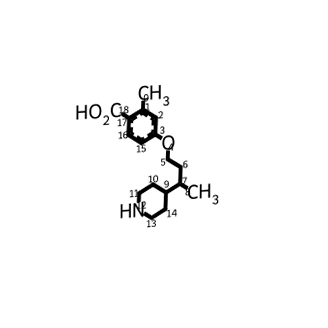 Cc1cc(OCCC(C)C2CCNCC2)ccc1C(=O)O